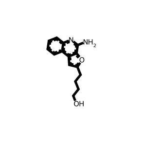 Nc1nc2ccccc2c2cc(CCCCO)oc12